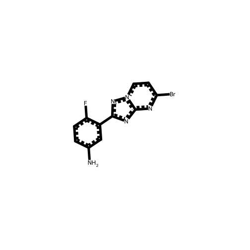 Nc1ccc(F)c(-c2nc3nc(Br)ccn3n2)c1